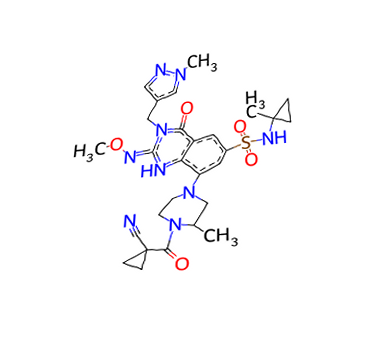 CON=c1[nH]c2c(N3CCN(C(=O)C4(C#N)CC4)C(C)C3)cc(S(=O)(=O)NC3(C)CC3)cc2c(=O)n1Cc1cnn(C)c1